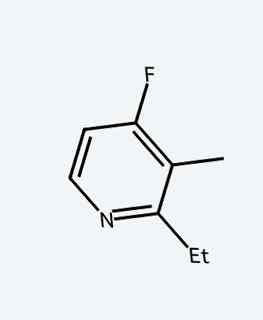 CCc1nccc(F)c1C